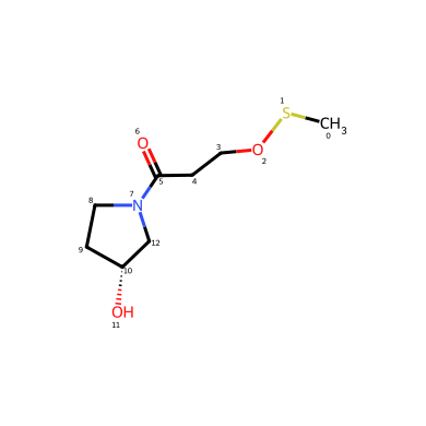 CSOCCC(=O)N1CC[C@@H](O)C1